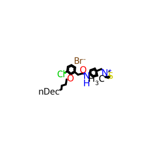 CCCCCCCCCCCCCCOc1c(Cl)cccc1CC(=O)Nc1ccc(C[n+]2cscc2C)cc1.[Br-]